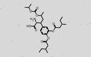 CCC(C)CC(=O)Oc1ccc(C(CC(C)OC(=O)OC(C)C)[C@H](N)C(=O)O)cc1OC(=O)CC(C)CC